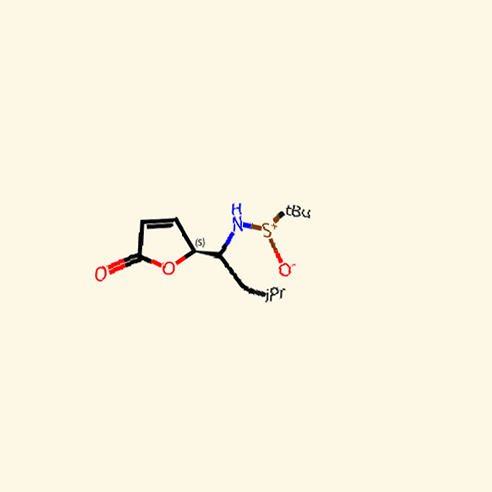 CC(C)CC(N[S+]([O-])C(C)(C)C)[C@@H]1C=CC(=O)O1